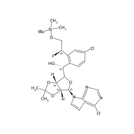 CC1(C)O[C@@H]2[C@H](O1)C([C@H](O)c1ccc(Cl)cc1[C@@H](F)CO[Si](C)(C)C(C)(C)C)O[C@H]2n1ccc2c(Cl)ncnc21